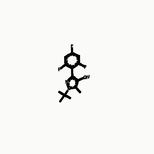 Cc1c(O)c(-c2c(F)cc(F)cc2F)nn1C(C)(C)C